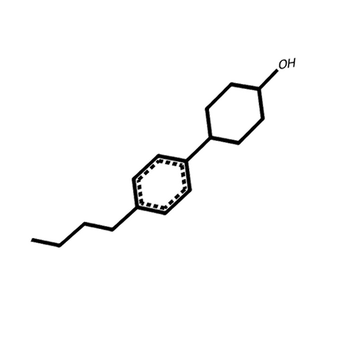 CCCCc1ccc(C2CCC(O)CC2)cc1